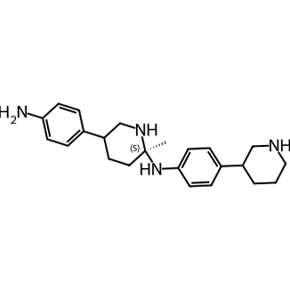 C[C@]1(Nc2ccc(C3CCCNC3)cc2)CCC(c2ccc(N)cc2)CN1